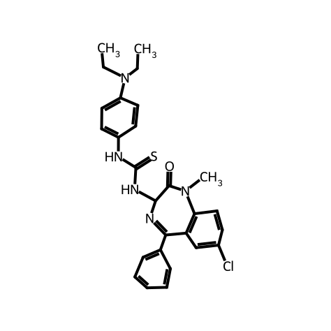 CCN(CC)c1ccc(NC(=S)NC2N=C(c3ccccc3)c3cc(Cl)ccc3N(C)C2=O)cc1